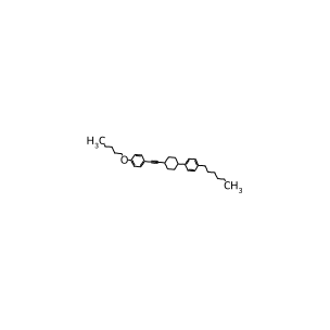 CCCCCCc1ccc(C2CCC(C#Cc3ccc(OCCCCC)cc3)CC2)cc1